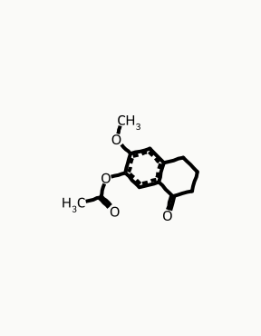 COc1cc2c(cc1OC(C)=O)C(=O)CCC2